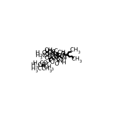 CCCC(CCC)C(=O)Nc1cnn([C@@H]2O[C@H](CO[Si](C)(C)C(C)(C)C)[C@@H](O[Si](C)(C)C(C)(C)C)[C@H]2O[Si](C)(C)C(C)(C)C)c(=O)n1